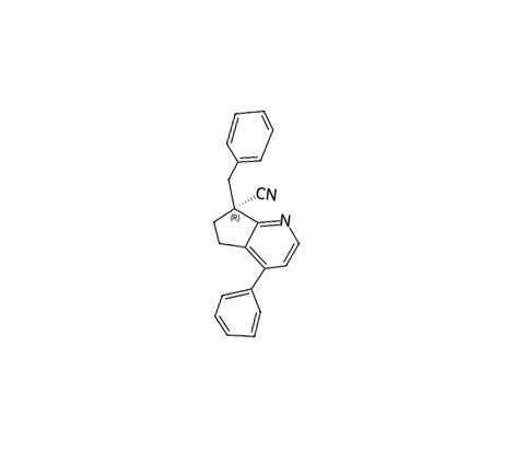 N#C[C@@]1(Cc2ccccc2)CCc2c(-c3ccccc3)ccnc21